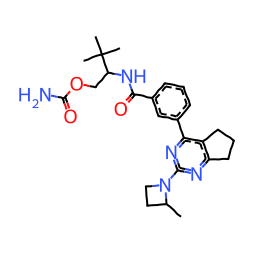 CC1CCN1c1nc2c(c(-c3cccc(C(=O)NC(COC(N)=O)C(C)(C)C)c3)n1)CCC2